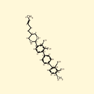 C/C=C/CCC1COC(c2ccc(-c3ccc(-c4ccc(C)c(F)c4F)cc3)c(F)c2F)OC1